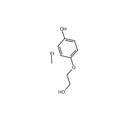 CCC.OCCOc1ccc(O)cc1